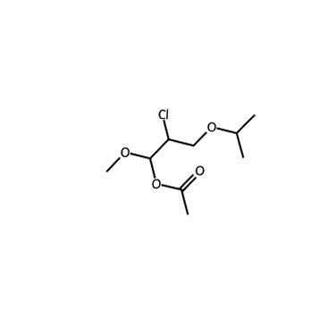 COC(OC(C)=O)C(Cl)COC(C)C